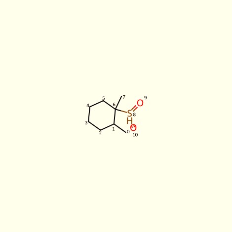 CC1CCCCC1(C)[SH](=O)=O